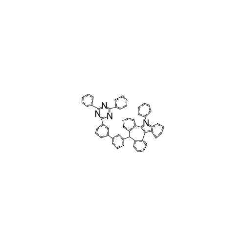 c1ccc(-c2nc(-c3ccccc3)nc(-c3cccc(-c4cccc(C5c6ccccc6-c6c(n(-c7ccccc7)c7ccccc67)-c6ccccc65)c4)c3)n2)cc1